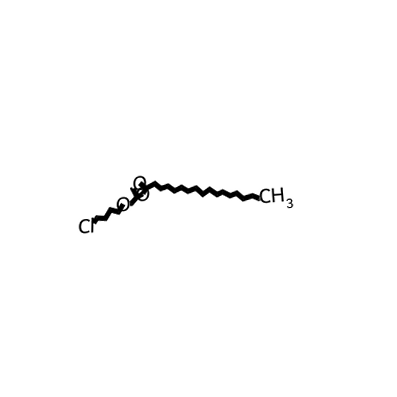 CCCCCCCCCCCCCCCCCC1OCC(COCCCCCl)O1